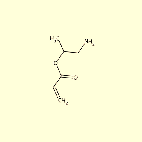 C=CC(=O)OC(C)CN